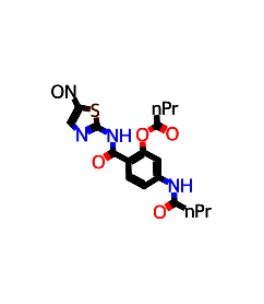 CCCC(=O)Nc1ccc(C(=O)Nc2ncc(N=O)s2)c(OC(=O)CCC)c1